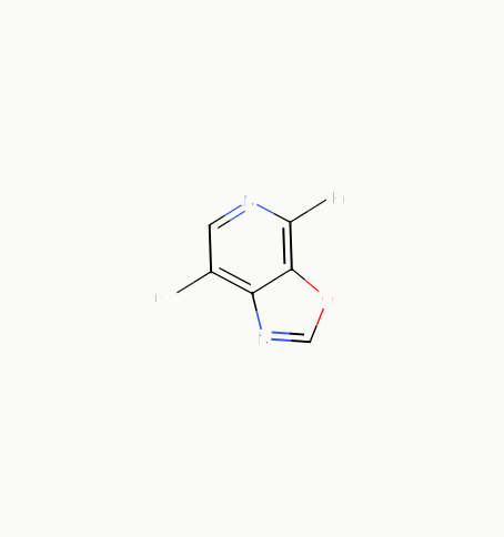 CC(C)c1cnc(C(C)C)c2ocnc12